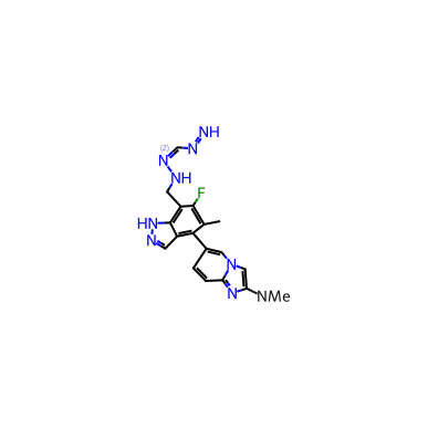 CNc1cn2cc(-c3c(C)c(F)c(CN/N=C\N=N)c4[nH]ncc34)ccc2n1